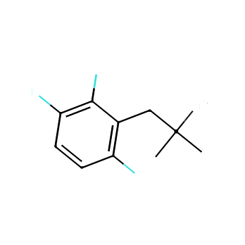 CCCC(C)(C)Cc1c(F)ccc(F)c1F